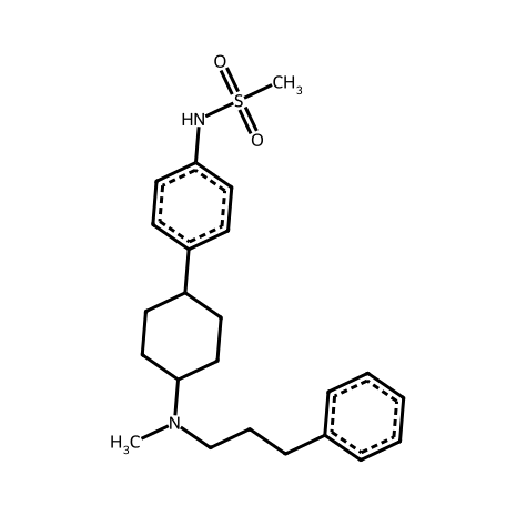 CN(CCCc1ccccc1)C1CCC(c2ccc(NS(C)(=O)=O)cc2)CC1